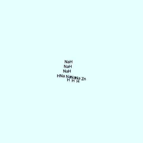 [NaH].[NaH].[NaH].[NaH].[NaH].[NaH].[NaH].[Zn]